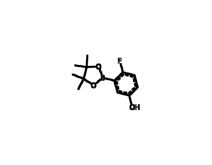 CC1(C)OB(c2cc(O)ccc2F)OC1(C)C